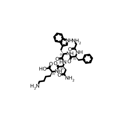 NCCCC[C@H](NC(=O)[C@H](CC(N)=O)NC(=O)[C@H](Cc1c[nH]c2ccccc12)NC(=O)[C@H](Cc1ccccc1)NC(=O)CN)C(=O)O